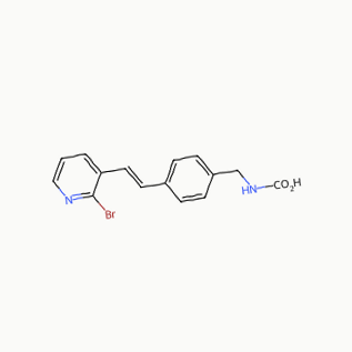 O=C(O)NCc1ccc(/C=C/c2cccnc2Br)cc1